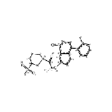 Cc1ccccc1-c1cnc(Cl)c2cc(O[C@H](C)C(=O)N3CCCC(S(C)(=O)=O)C3)ccc12